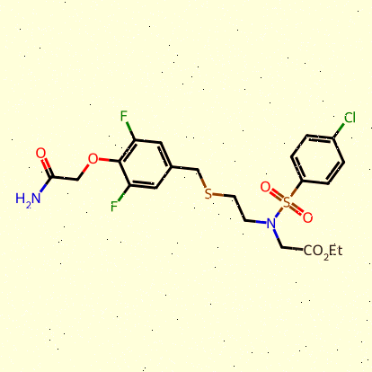 CCOC(=O)CN(CCSCc1cc(F)c(OCC(N)=O)c(F)c1)S(=O)(=O)c1ccc(Cl)cc1